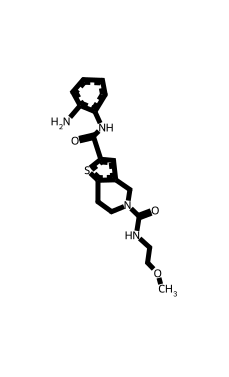 COCCNC(=O)N1CCc2sc(C(=O)Nc3ccccc3N)cc2C1